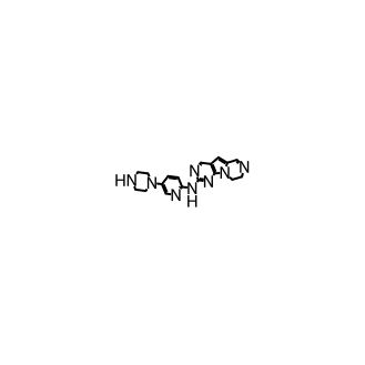 C1=NCCn2c1cc1cnc(Nc3ccc(N4CCNCC4)cn3)nc12